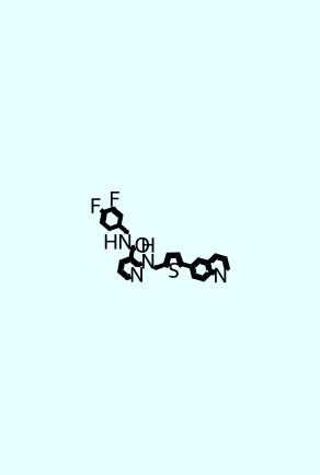 O=C(NCC1C=C(F)C(F)=CC1)c1cccnc1NCc1ccc(-c2ccc3ncccc3c2)s1